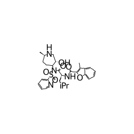 Cc1c(C(=O)N[C@@H](CC(C)C)C(=O)N([C@H]2CC[C@@H](C)NC[C@@H]2O)S(=O)(=O)c2ccccn2)oc2ccccc12